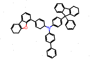 C1=CC2=C(CC1)c1ccccc1[C@@]2(c1ccccc1)c1ccc(N(c2ccc(-c3ccccc3)cc2)C2C=CC(c3cccc4c5c(oc34)CCC=C5)=CC2)cc1